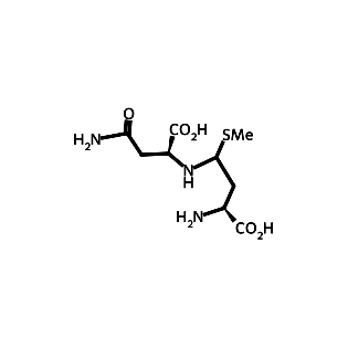 CSC(C[C@H](N)C(=O)O)N[C@@H](CC(N)=O)C(=O)O